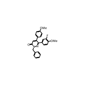 COc1ccc(-c2cc(=O)n(Cc3ccccc3)nc2-c2ccc(OC)c(F)c2)cc1